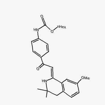 CCCCCCOC(=O)Nc1ccc(C(=O)C=C2NC(C)(C)Cc3ccc(OC)cc32)cc1